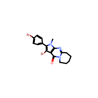 Cn1c(-c2ccc(Br)cc2)c(Br)c2c(=O)n3c(nc21)CCCCC3